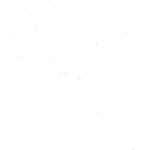 Fc1ccc(Nc2ccccc2)nc1